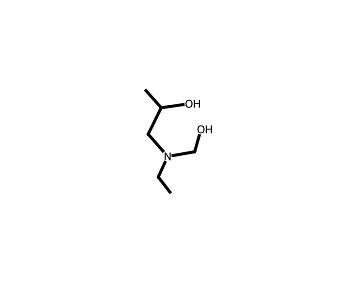 CCN(CO)CC(C)O